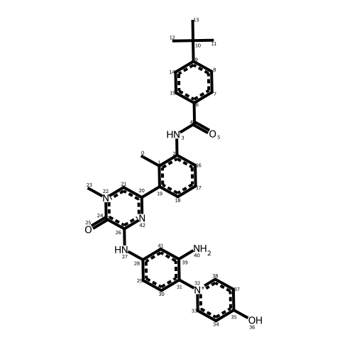 Cc1c(NC(=O)c2ccc(C(C)(C)C)cc2)cccc1-c1cn(C)c(=O)c(Nc2ccc(-[n+]3ccc(O)cc3)c(N)c2)n1